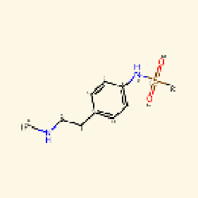 CC(C)NCCc1ccc(NS(C)(=O)=O)cc1